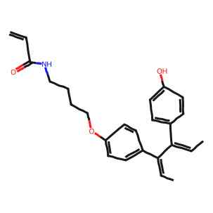 C=CC(=O)NCCCCOc1ccc(C(=CC)C(=CC)c2ccc(O)cc2)cc1